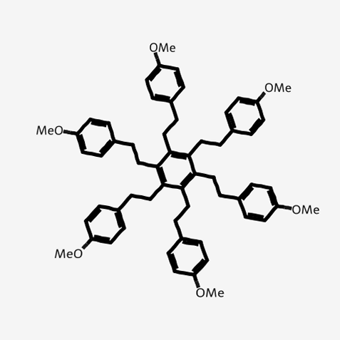 COc1ccc(CCc2c(CCc3ccc(OC)cc3)c(CCc3ccc(OC)cc3)c(CCc3ccc(OC)cc3)c(CCc3ccc(OC)cc3)c2CCc2ccc(OC)cc2)cc1